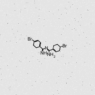 N=C(/N=C(\N)C1=CC[C@H](Br)CC1)C1=CC=C(Br)CC1